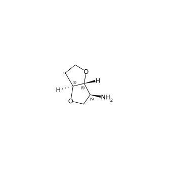 N[C@H]1CO[C@H]2[CH]CO[C@@H]21